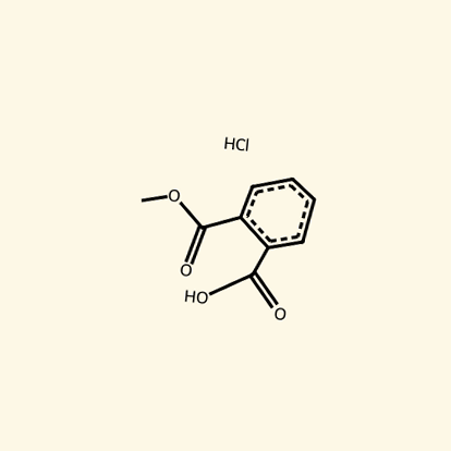 COC(=O)c1ccccc1C(=O)O.Cl